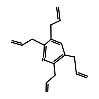 C=CCc1cc(CC=C)c(CC=C)nc1CC=C